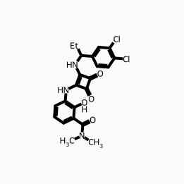 CCC(Nc1c(Nc2cccc(C(=O)N(C)C)c2O)c(=O)c1=O)c1ccc(Cl)c(Cl)c1